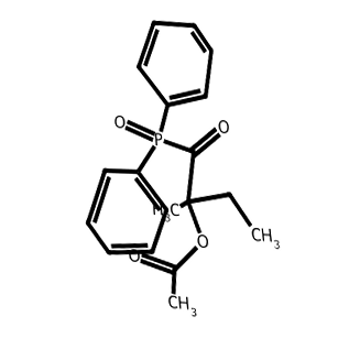 CCC(C)(OC(C)=O)C(=O)P(=O)(c1ccccc1)c1ccccc1